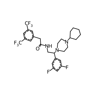 O=C(Cc1cc(C(F)(F)F)cc(C(F)(F)F)c1)NCC(c1cc(F)cc(F)c1)N1CCN(C2CCCCC2)CC1